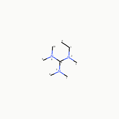 CCN(C)C(N(C)C)N(C)C